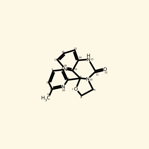 Cc1cccc(C23OCCN2C(=O)Nc2cccnc23)n1